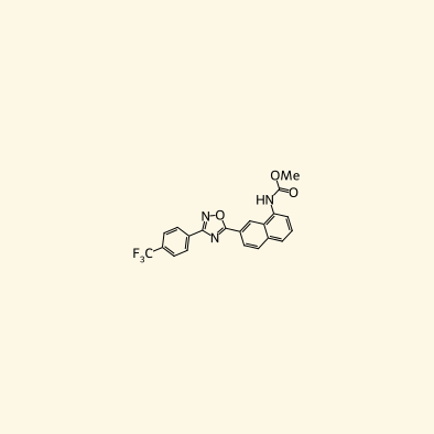 COC(=O)Nc1cccc2ccc(-c3nc(-c4ccc(C(F)(F)F)cc4)no3)cc12